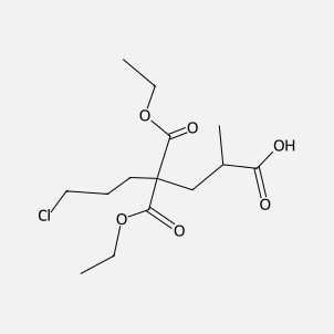 CCOC(=O)C(CCCCl)(CC(C)C(=O)O)C(=O)OCC